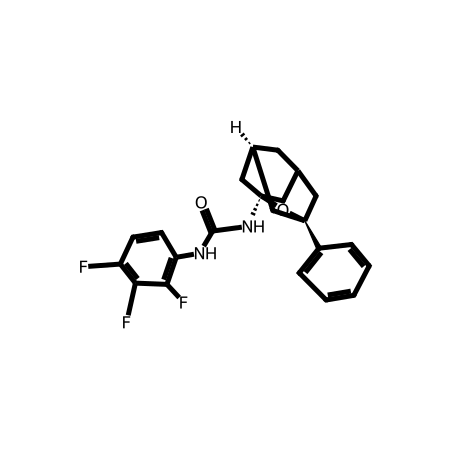 O=C(Nc1ccc(F)c(F)c1F)N[C@@]12CC3C[C@H](C1)C[C@](c1ccccc1)(C3)O2